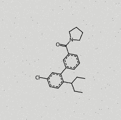 CCC(CC)c1ccc(Cl)cc1-c1cccc(C(=O)N2CCCC2)c1